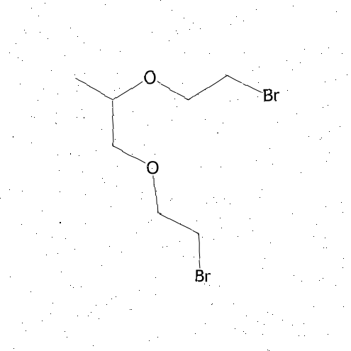 CC(COCCBr)OCCBr